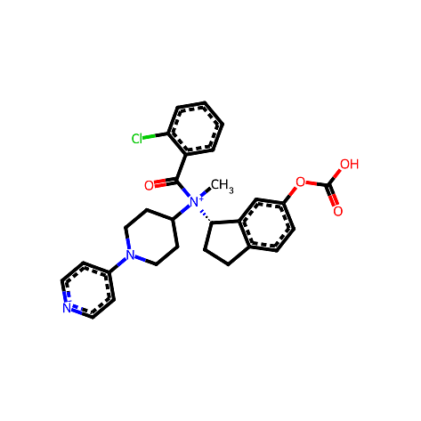 C[N+](C(=O)c1ccccc1Cl)(C1CCN(c2ccncc2)CC1)[C@H]1CCc2ccc(OC(=O)O)cc21